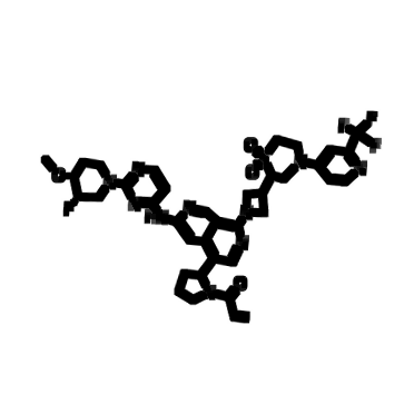 C=CC(=O)N1CCCC1c1cnc(N2CC(C3CN(c4ccnc(C(F)(F)F)c4)CCS3(=O)=O)C2)c2cnc(Nc3ccnc(N4CC[C@@H](OC)[C@@H](F)C4)n3)cc12